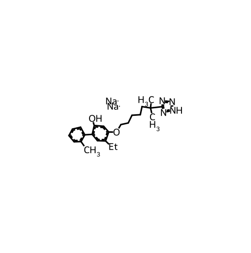 CCc1cc(-c2ccccc2C)c(O)cc1OCCCCCC(C)(C)c1nn[nH]n1.[Na].[Na]